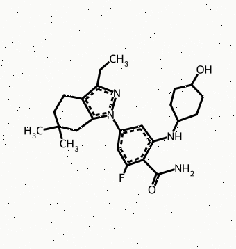 CCc1nn(-c2cc(F)c(C(N)=O)c(NC3CCC(O)CC3)c2)c2c1CCC(C)(C)C2